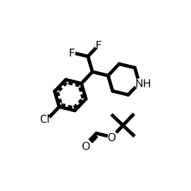 CC(C)(C)OC=O.FC(F)C(c1ccc(Cl)cc1)C1CCNCC1